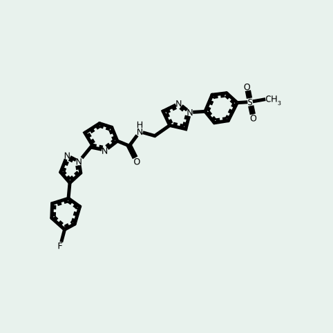 CS(=O)(=O)c1ccc(-n2cc(CNC(=O)c3cccc(-n4cc(-c5ccc(F)cc5)cn4)n3)cn2)cc1